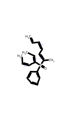 C=C/C=C\C=C(/C)P(=O)(C(/C=C\C)=C/C)c1ccccc1